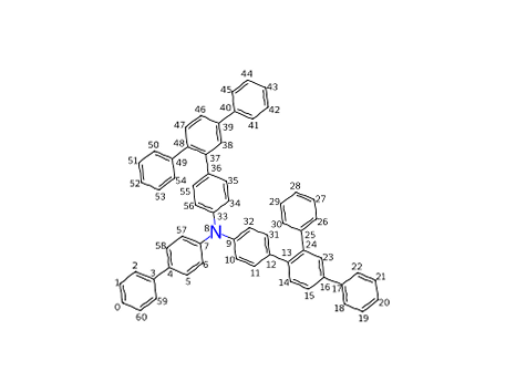 c1ccc(-c2ccc(N(c3ccc(-c4ccc(-c5ccccc5)cc4-c4ccccc4)cc3)c3ccc(-c4cc(-c5ccccc5)ccc4-c4ccccc4)cc3)cc2)cc1